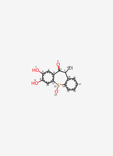 CCC1C(=O)c2cc(O)c(O)cc2[S+]([O-])c2ccccc21